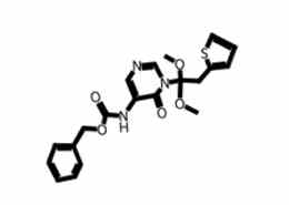 COC(Cc1cccs1)(OC)n1cncc(NC(=O)OCc2ccccc2)c1=O